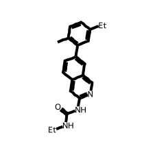 CCNC(=O)Nc1cc2ccc(-c3cc(CC)ccc3C)cc2cn1